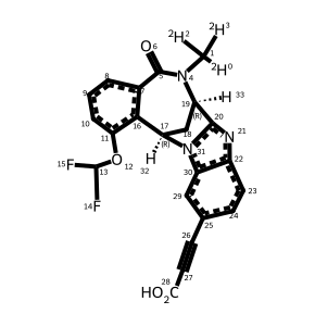 [2H]C([2H])([2H])N1C(=O)c2cccc(OC(F)F)c2[C@H]2C[C@@H]1c1nc3ccc(C#CC(=O)O)cc3n12